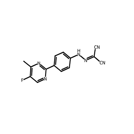 Cc1nc(-c2ccc(NN=C(C#N)C#N)cc2)ncc1F